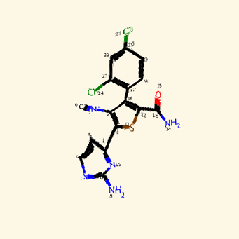 [C-]#[N+]c1c(-c2ccnc(N)n2)sc(C(N)=O)c1-c1ccc(Cl)cc1Cl